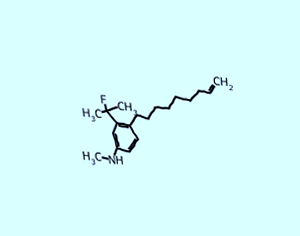 C=CCCCCCCCc1ccc(NC)cc1C(C)(C)F